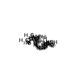 Cc1ncsc1-c1ccc([C@H](C)NC(=O)[C@@H]2C[C@@H](O)CN2C(=O)C(c2cc(CN3CCC(CN4CCN5c6cc(-c7ccccc7O)nnc6NC[C@H]5C4)CC3)no2)C(C)C)cc1